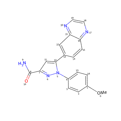 COc1ccc(-n2nc(C(N)=O)cc2-c2ccc3nccnc3c2)cc1